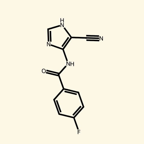 N#Cc1[nH]cnc1NC(=O)c1ccc(F)cc1